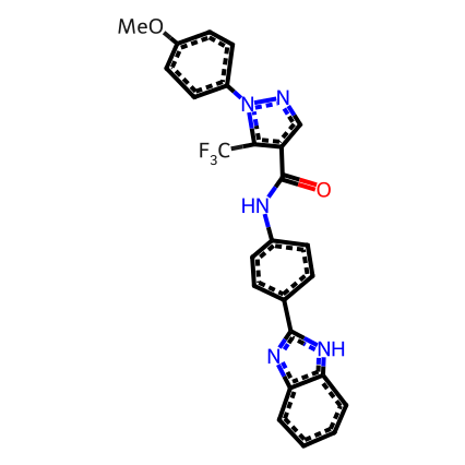 COc1ccc(-n2ncc(C(=O)Nc3ccc(-c4nc5ccccc5[nH]4)cc3)c2C(F)(F)F)cc1